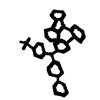 C[Si](C)(C)c1ccc(N(c2ccc(-c3ccccc3)cc2)c2ccc(-c3ccccc3-n3c4ccccc4c4ccccc43)cc2)cc1